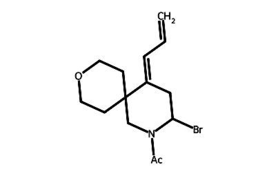 C=C/C=C1\CC(Br)N(C(C)=O)CC12CCOCC2